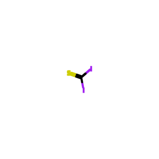 S=C(I)I